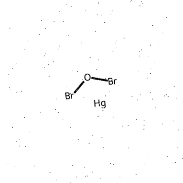 BrOBr.[Hg]